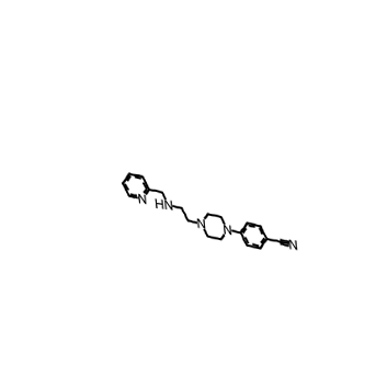 N#Cc1ccc(N2CCN(CCNCc3ccccn3)CC2)cc1